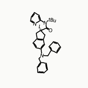 CC(C)(C)N(C(=O)[C@]1(I)Cc2ccc(N(Cc3ccccc3)Cc3ccccc3)cc2C1)c1ccccn1